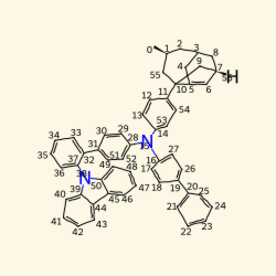 C[C@H]1CC2CC3=C[C@@H](C2)CC3(c2ccc(N(c3ccc(-c4ccccc4)cc3)c3ccc(-c4ccccc4-n4c5ccccc5c5ccccc54)cc3)cc2)C1